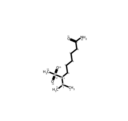 CN(C)N(CCCCCC(N)=O)S(C)(=O)=O